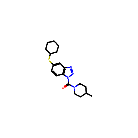 CC1CCN(C(=O)n2nnc3cc(SC4CCCCC4)ccc32)CC1